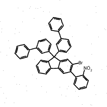 O=[N+]([O-])c1ccccc1-c1cc2c(cc1Br)C(c1cccc(-c3ccccc3)c1)(c1cccc(-c3ccccc3)c1)c1ccccc1-2